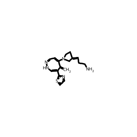 C=C1/C(c2nccs2)=C\N/N=C\C=C/1N1CC/C(=C/CCN)C1